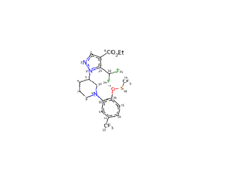 CCOC(=O)c1cnn(C2CCCN(c3cc(C(F)(F)F)ccc3OSC(F)(F)F)C2)c1C(F)F